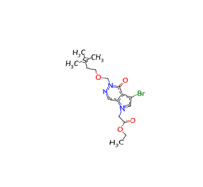 CCOC(=O)Cn1cc(Br)c2c(=O)n(COCC[Si](C)(C)C)ncc21